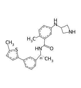 Cc1ccc(-c2cccc([C@@H](C)NC(=O)c3cc(NC4CNC4)ccc3C)c2)s1